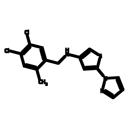 Cc1cc(Cl)c(Cl)cc1CNc1csc(-n2cccn2)c1